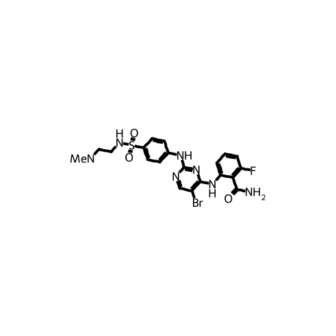 CNCCNS(=O)(=O)c1ccc(Nc2ncc(Br)c(Nc3cccc(F)c3C(N)=O)n2)cc1